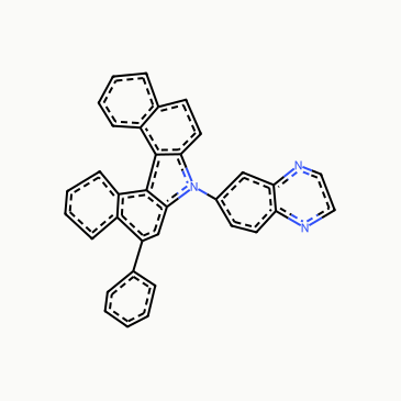 c1ccc(-c2cc3c(c4ccccc24)c2c4ccccc4ccc2n3-c2ccc3nccnc3c2)cc1